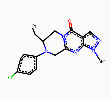 CC(C)CC1Cn2c(nc3c(cnn3C(C)C)c2=O)CN1c1ccc(Cl)cc1